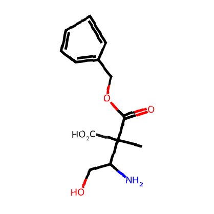 CC(C(=O)O)(C(=O)OCc1ccccc1)C(N)CO